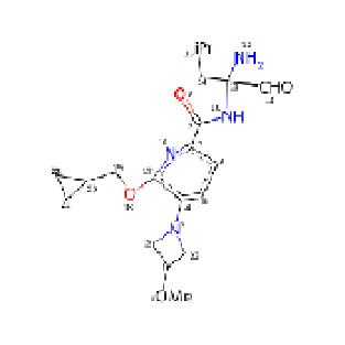 COC1CN(c2ccc(C(=O)N[C@](N)(C=O)CC(C)C)nc2OCC2CC2)C1